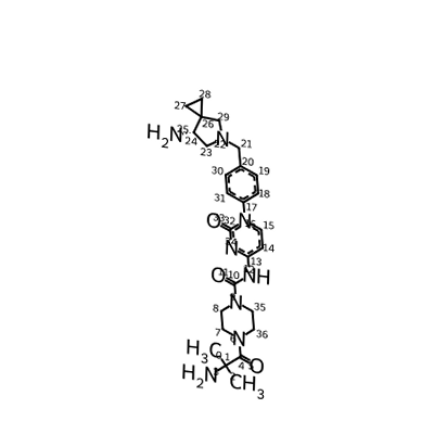 CC(C)(N)C(=O)N1CCN(C(=O)Nc2ccn(-c3ccc(CN4C[C@H](N)C5(CC5)C4)cc3)c(=O)n2)CC1